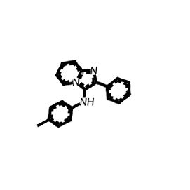 Cc1ccc(Nc2c(-c3ccccc3)nc3ccccn23)cc1